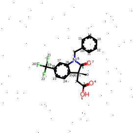 C[C@]1(CC(=O)O)C(=O)N(Cc2ccccc2)c2cc(C(F)(F)F)ccc21